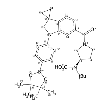 CC(C)(C)N(C(=O)O)[C@@H]1CCN(C(=O)c2ccc3c(c2)N(c2ncc(B4OC(C)(C)C(C)(C)O4)cn2)CC32CC2)C1